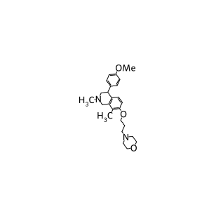 COc1ccc(C2CN(C)Cc3c2ccc(OCCCN2CCOCC2)c3C)cc1